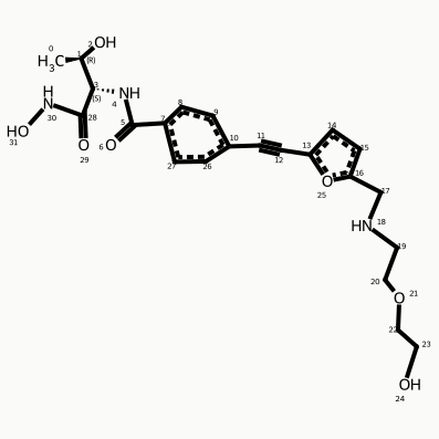 C[C@@H](O)[C@H](NC(=O)c1ccc(C#Cc2ccc(CNCCOCCO)o2)cc1)C(=O)NO